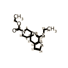 CCOC(=O)N1CCC2(CC1)Cc1ccsc1C(SCC)=N2